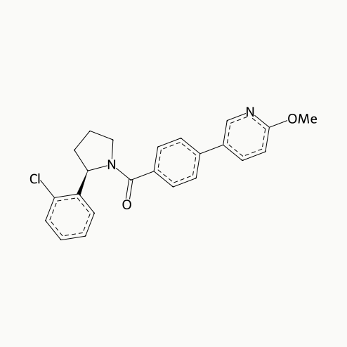 COc1ccc(-c2ccc(C(=O)N3CCC[C@@H]3c3ccccc3Cl)cc2)cn1